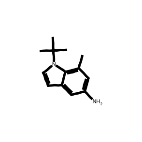 Cc1cc(N)cc2ccn(C(C)(C)C)c12